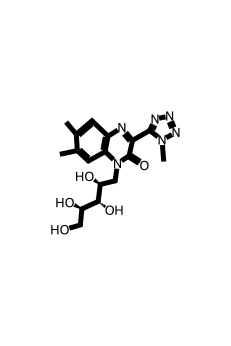 Cc1cc2nc(-c3nnnn3C)c(=O)n(C[C@H](O)[C@H](O)[C@H](O)CO)c2cc1C